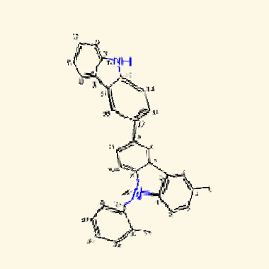 Cc1ccc2c(c1)c1cc(-c3ccc4[nH]c5ccccc5c4c3)ccc1n2-c1ccccc1C